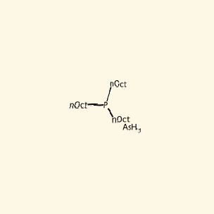 CCCCCCCCP(CCCCCCCC)CCCCCCCC.[AsH3]